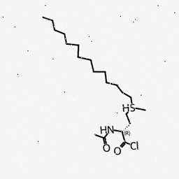 CCCCCCCCCCCCCC[SH](C)CC[C@@H](NC(C)=O)C(=O)Cl